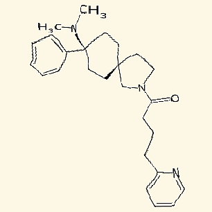 CN(C)[C@]1(c2ccccc2)CC[C@]2(CCN(C(=O)CCCc3ccccn3)C2)CC1